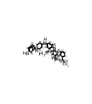 CNC(=O)c1cccc(C)c1Nc1nc(Nc2ccc(NC3CCN([C@H]4C5CC6CC4C[C@](O)(C6)C5)CC3)cc2OC)ncc1C(F)(F)F